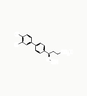 O=C(O)CC/C(=N\O)c1ccc(-c2ccc(Cl)c(Cl)c2)cc1